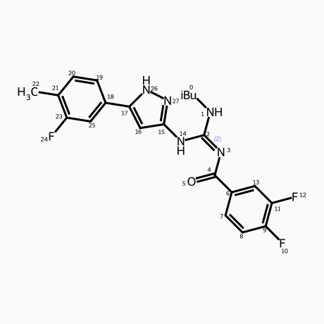 CCC(C)N/C(=N/C(=O)c1ccc(F)c(F)c1)Nc1cc(-c2ccc(C)c(F)c2)[nH]n1